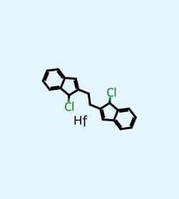 ClC1C(CCC2=Cc3ccccc3C2Cl)=Cc2ccccc21.[Hf]